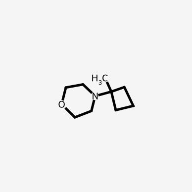 CC1(N2CCOCC2)CCC1